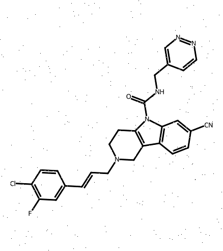 N#Cc1ccc2c3c(n(C(=O)NCc4ccnnc4)c2c1)CCN(C/C=C/c1ccc(Cl)c(F)c1)C3